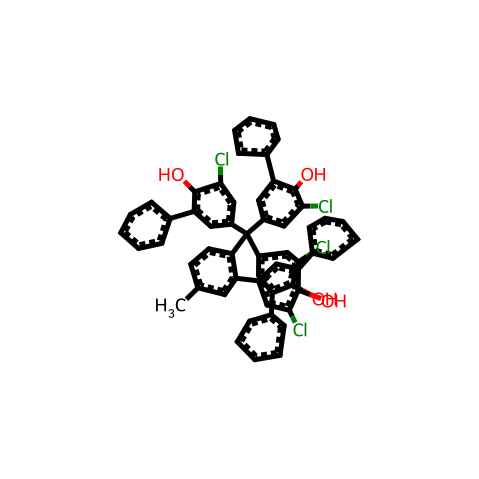 Cc1ccc(C(c2cc(Cl)c(O)c(-c3ccccc3)c2)(c2cc(Cl)c(O)c(-c3ccccc3)c2)c2cc(Cl)c(O)c(-c3ccccc3)c2)c(-c2cc(Cl)c(O)c(-c3ccccc3)c2)c1